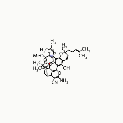 COC(=O)/C(C)=C\CC12OC(C)(C)C3CC(C1=O)C1C(C#N)=C(N)OC4=C1C32Oc1c(CC=C(C)C)c2c(c(O)c14)C=CC(C)(CCC=C(C)C)O2